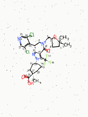 CC1(C)CC[C@@H](CN(CCc2c(Cl)cncc2Cl)C(=O)c2cnn([C@H]3CC[C@](C)(C(=O)O)CC3)c2C(F)(F)F)O1